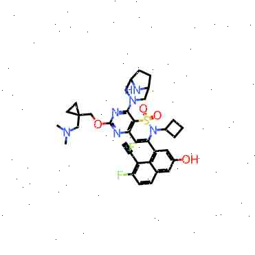 C#Cc1c(F)ccc2cc(O)cc(C3=C(F)c4nc(OCC5(CN(C)C)CC5)nc(N5CC6CCC(C5)N6)c4S(=O)(=O)N3C3CCC3)c12